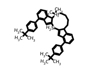 CC(C)(C)c1ccc(-c2cccc3c2C=C2[SiH2]C4=Cc5c(-c6ccc(C(C)(C)C)cc6)cccc5[CH]4[Hf]([CH3])([CH3])[CH2]CCCC23)cc1